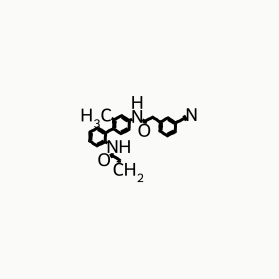 C=CC(=O)Nc1ccccc1-c1ccc(NC(=O)Cc2cccc(C#N)c2)cc1C